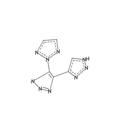 c1cnn(C2=C(c3c[nH]nn3)N=N[N]2)n1